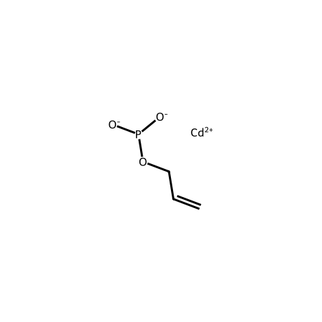 C=CCOP([O-])[O-].[Cd+2]